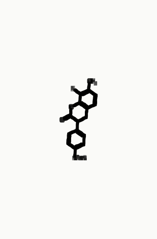 CCCCCc1ccc(C2Cc3ccc(C)c(F)c3OC2=O)cc1